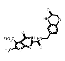 CCOC(=O)c1c(C)sc2nc(C(=O)NCc3ccc4c(c3)NC(=O)CO4)[nH]c(=O)c12